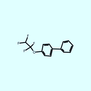 FC(F)C(F)(F)Oc1ccc(-c2ccccc2)cc1